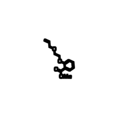 C=CCOCCOc1ccccc1C(=O)OC